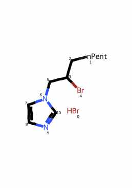 Br.CCCCCCC(Br)Cn1ccnc1